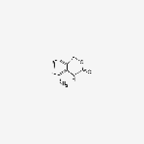 Nc1cccc2c1NC(=O)OC2